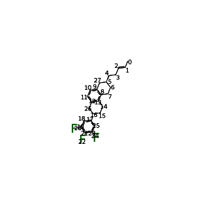 CC=CCC[C@H]1CCc2c(ccc3c2CC[C@H](c2cc(F)c(F)c(F)c2)C3)C1